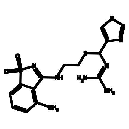 NC(N)=NC(SCCNC1=NS(=O)(=O)c2cccc(N)c21)c1cscn1